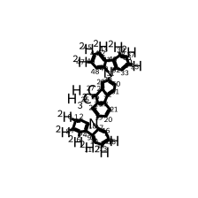 [2H]c1cc2c(c([2H])c1[2H])c1c([2H])c([2H])c([2H])cc1n2-c1ccc2c(c1)C(C)(C)c1cc(-n3c4cc([2H])c([2H])c([2H])c4c4c([2H])c([2H])c([2H])cc43)ccc1-2